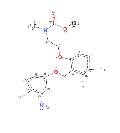 CN(CCOc1ccc(F)c(F)c1COc1ccc(F)c(N)c1)C(=O)OC(C)(C)C